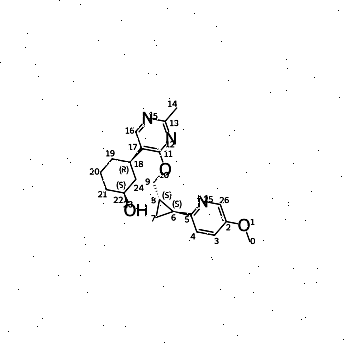 COc1ccc([C@H]2C[C@@H]2COc2nc(C)ncc2[C@@H]2CCC[C@H](O)C2)nc1